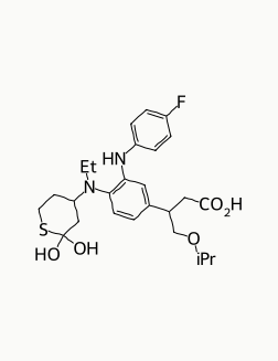 CCN(c1ccc(C(COC(C)C)CC(=O)O)cc1Nc1ccc(F)cc1)C1CCSC(O)(O)C1